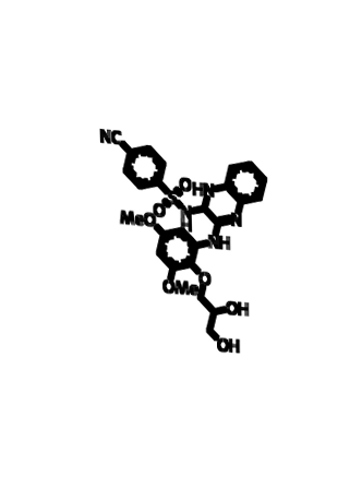 COc1cc(NC2=Nc3ccccc3NC2NS(=O)(=O)c2ccc(C#N)cc2)c(OCC(O)CO)c(OC)c1